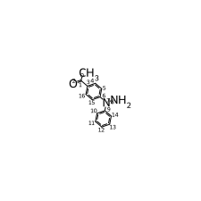 CC(=O)c1ccc(N(N)c2ccccc2)cc1